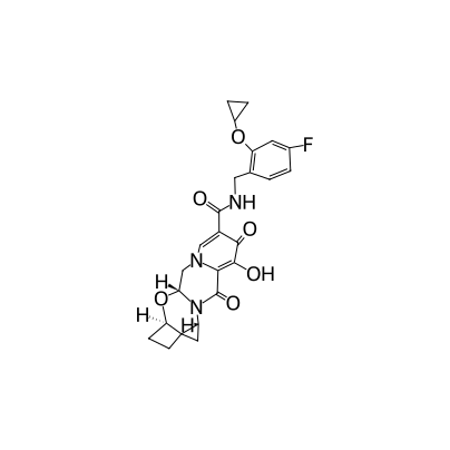 O=C(NCc1ccc(F)cc1OC1CC1)c1cn2c(c(O)c1=O)C(=O)N1[C@@H](C2)O[C@@H]2CCC23C[C@@H]13